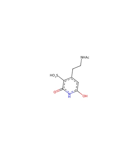 CC(=O)NCCc1cc(O)[nH]c(=O)c1S(=O)(=O)O